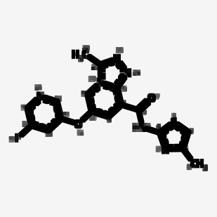 Cc1csc(NC(=O)c2cc(Oc3cncc(F)c3)cn3c(C)nnc23)n1